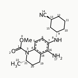 COC(=O)N1c2ccc(N[C@H]3CCC[C@H](C#N)C3)c(N)c2CC[C@@H]1C